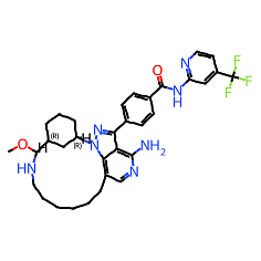 COC1NCCCCCCc2cnc(N)c3c(-c4ccc(C(=O)Nc5cc(C(F)(F)F)ccn5)cc4)nn(c23)[C@@H]2CCC[C@@H]1C2